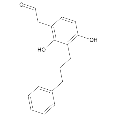 O=CCc1ccc(O)c(CCCc2ccccc2)c1O